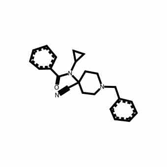 N#CC1(N(C(=O)c2ccccc2)C2CC2)CCN(Cc2ccccc2)CC1